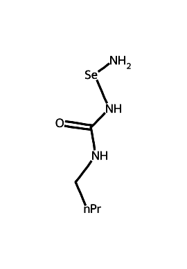 CCCCNC(=O)N[Se]N